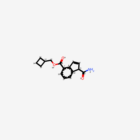 NC(=O)C1C=Cc2c(C(=O)OCC3CCC3)cccc21